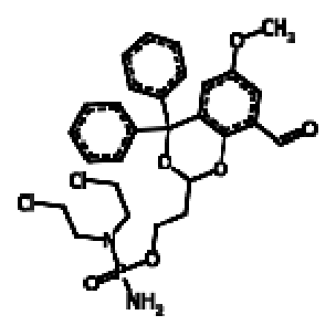 COc1cc(C=O)c2c(c1)C(c1ccccc1)(c1ccccc1)OC(CCOP(N)(=O)N(CCCl)CCCl)O2